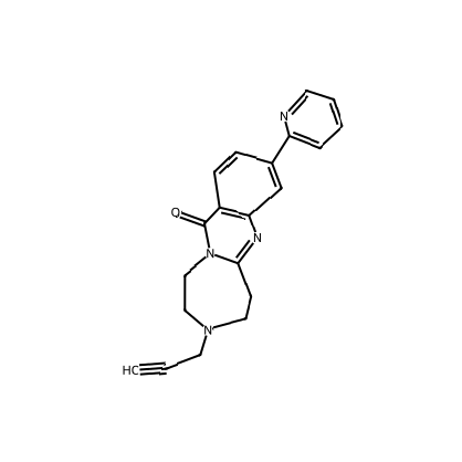 C#CCN1CCc2nc3cc(-c4ccccn4)ccc3c(=O)n2CC1